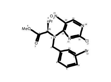 CCC[C@H](C(=O)OC)N(Cc1cccc(Br)c1)c1nc(Cl)ncc1[N+](=O)[O-]